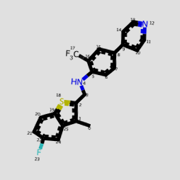 Cc1c(CNc2ccc(-c3ccncc3)cc2C(F)(F)F)sc2ccc(F)cc12